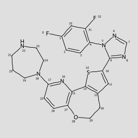 Fc1ccc(-n2ncnc2-c2cc3c(s2)-c2nc(N4CCCNCC4)ccc2OCC3)c(F)c1